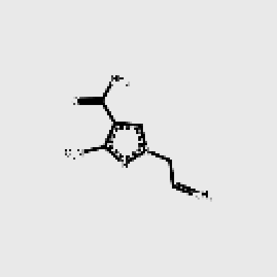 C=CCn1cc(C(N)=O)c([N+](=O)[O-])n1